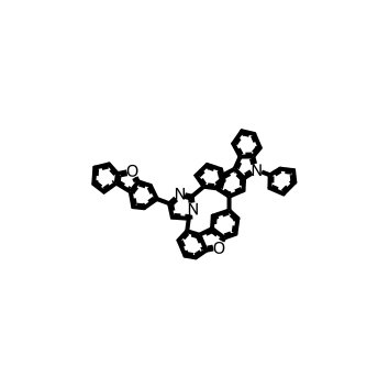 c1ccc(-c2nc(-c3ccc4c(c3)oc3ccccc34)cc(-c3cccc4oc5ccc(-c6ccc7c8ccccc8n(-c8ccccc8)c7c6)cc5c34)n2)cc1